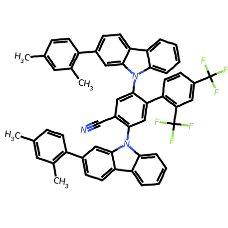 Cc1ccc(-c2ccc3c4ccccc4n(-c4cc(-c5ccc(C(F)(F)F)cc5C(F)(F)F)c(-n5c6ccccc6c6ccc(-c7ccc(C)cc7C)cc65)cc4C#N)c3c2)c(C)c1